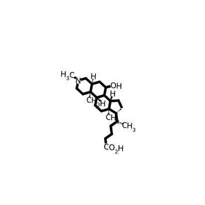 C[C@H](CCCC(=O)O)[C@H]1CC[C@H]2C3C(O)C[C@@H]4CN(C)CC[C@]4(C)[C@H]3CC[C@]12C